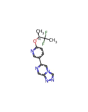 C[C@H](Oc1ccc(-c2cn3cnnc3cn2)cn1)C(C)(F)F